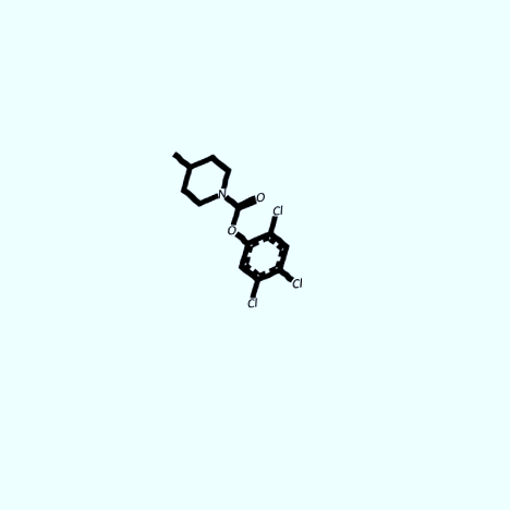 CC1CCN(C(=O)Oc2cc(Cl)c(Cl)cc2Cl)CC1